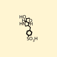 O=S(=O)(O)c1ccc(CC2CN[C@@H]3C(O)CO[C@@H]23)cc1